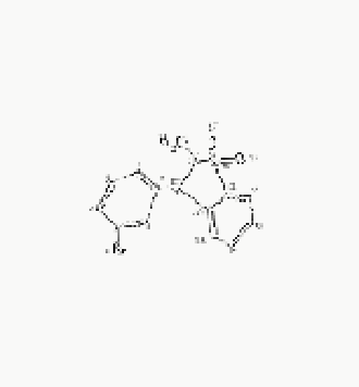 CN1[C@@H](c2cccc(Br)c2)c2ccccc2S1(=O)=O